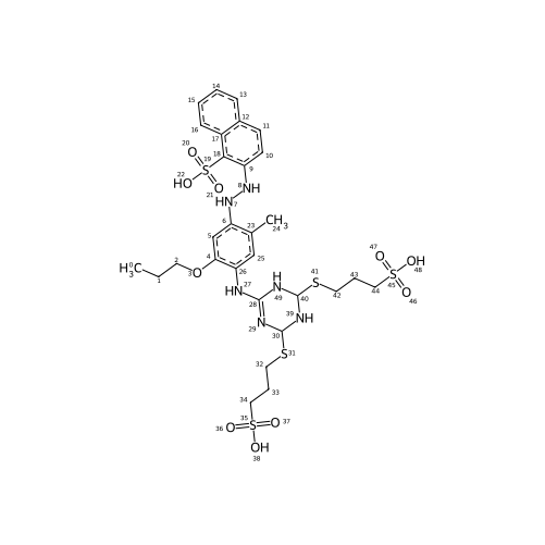 CCCOc1cc(NNc2ccc3ccccc3c2S(=O)(=O)O)c(C)cc1NC1=NC(SCCCS(=O)(=O)O)NC(SCCCS(=O)(=O)O)N1